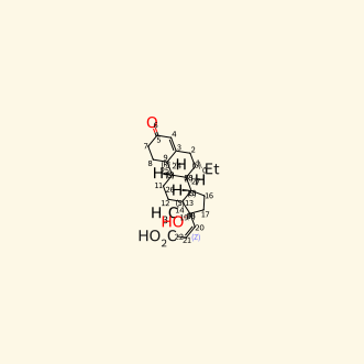 CC[C@H]1CC2=CC(=O)CC[C@@H]2[C@H]2CC[C@@]3(C)[C@@H](CC[C@@]3(O)/C=C\C(=O)O)[C@H]12